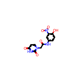 O=C(Cn1ccc(=O)[nH]c1=O)Nc1ccc(O)c([N+](=O)[O-])c1